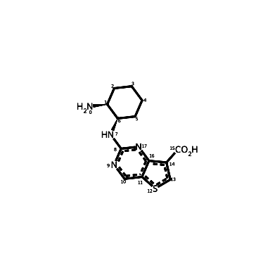 N[C@H]1CCCC[C@H]1Nc1ncc2scc(C(=O)O)c2n1